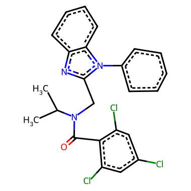 CC(C)N(Cc1nc2ccccc2n1-c1ccccc1)C(=O)c1c(Cl)cc(Cl)cc1Cl